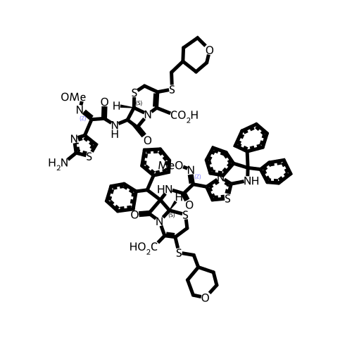 CO/N=C(\C(=O)NC1(C(c2ccccc2)c2ccccc2)C(=O)N2C(C(=O)O)=C(SCC3CCOCC3)CS[C@H]21)c1csc(NC(c2ccccc2)(c2ccccc2)c2ccccc2)n1.CO/N=C(\C(=O)NC1C(=O)N2C(C(=O)O)=C(SCC3CCOCC3)CS[C@@H]12)c1csc(N)n1